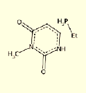 CCP.Cn1c(=O)cc[nH]c1=O